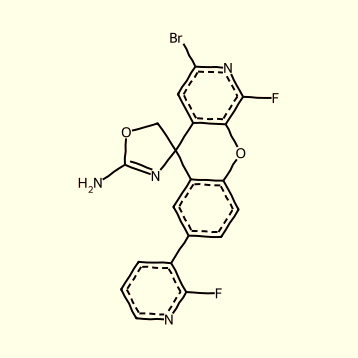 NC1=NC2(CO1)c1cc(-c3cccnc3F)ccc1Oc1c2cc(Br)nc1F